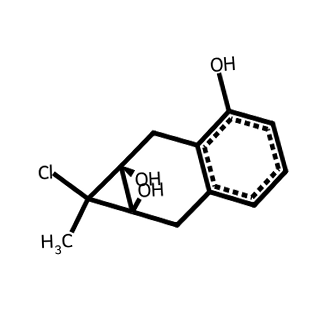 CC1(Cl)C2(O)Cc3cccc(O)c3C[C@@]12O